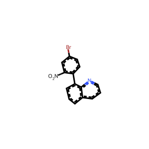 O=[N+]([O-])c1cc(Br)ccc1-c1cccc2cccnc12